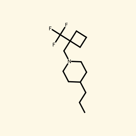 CCCC1CCN(CC2(C(F)(F)F)CCC2)CC1